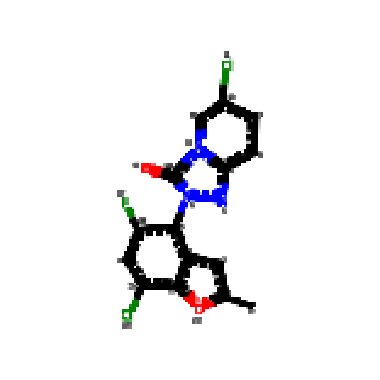 Cc1cc2c(-n3nc4ccc(Cl)cn4c3=O)c(F)cc(Cl)c2o1